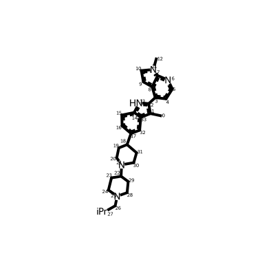 Cc1c(-c2ccnc3c2ccn3C)[nH]c2ccc(C3CCN(C4CCN(CC(C)C)CC4)CC3)cc12